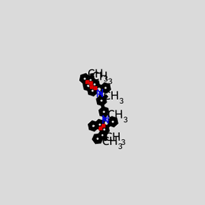 Cc1cc(-c2ccc(N(c3ccc4ccccc4c3)c3ccccc3-c3ccc4c(c3)C(C)(C)c3ccccc3-4)c(C)c2)ccc1N(c1ccc2ccccc2c1)c1ccccc1-c1ccc2c(c1)C(C)(C)c1ccccc1-2